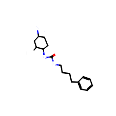 CC1CC(N)CCC1NC(=O)NCCCCc1ccccc1